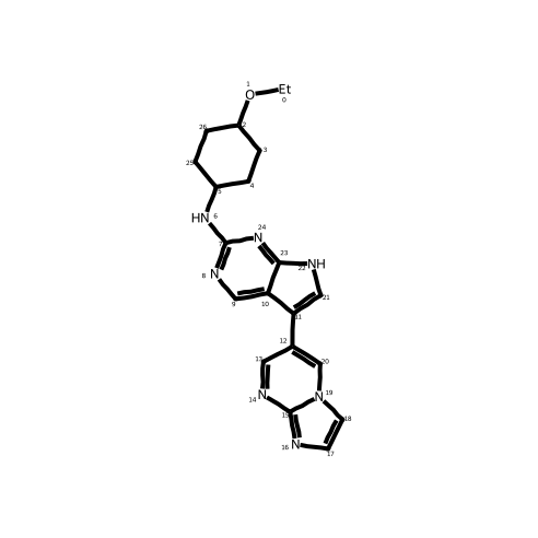 CCOC1CCC(Nc2ncc3c(-c4cnc5nccn5c4)c[nH]c3n2)CC1